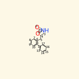 O=C1NCC(Cc2ccccc2-c2ccccc2)O1